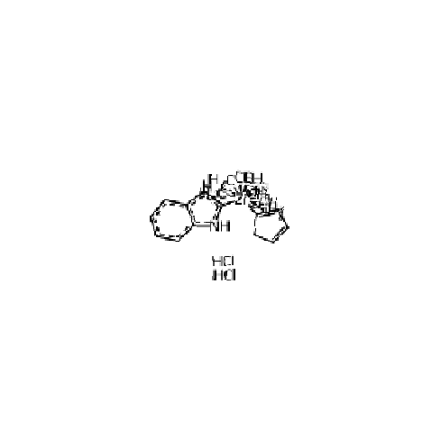 Cl.Cl.[CH3][Zr]([CH3])([CH3])([CH3])([CH3])([CH3])([CH3])([CH3])(=[SiH2])([C]1=CC=CC1)[c]1cc2ccccc2[nH]1